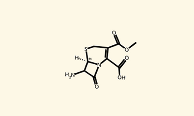 COC(=O)C1=C(C(=O)O)N2C(=O)C(N)[C@H]2SC1